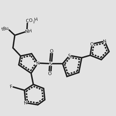 CC(C)(C)C(Cc1cc(-c2cccnc2F)n(S(=O)(=O)c2ccc(-c3ccno3)s2)c1)NC(=O)O